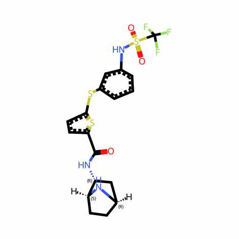 O=C(N[C@@H]1C[C@H]2CC[C@@H]1N2)c1ccc(Sc2cccc(NS(=O)(=O)C(F)(F)F)c2)s1